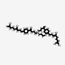 C=C(CCCN(CCCC)CCCC(=C)C1CC=C(CC/C=C(\C)CCC=C(C)C)CC1)C1CC=C(CC/C=C(\C)CCC=C(C)C)CC1